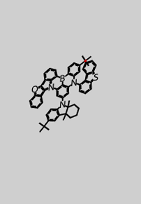 CC(C)(C)c1ccc2c(c1)N(c1cccc3sc4ccccc4c13)c1cc(N3c4ccc(C(C)(C)C)cc4C4(C)CCCCC34C)cc3c1B2c1cccc2c4oc5ccccc5c4n-3c12